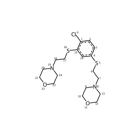 Clc1ccc(SCCN2CCOCC2)cc1SCCN1CCOCC1